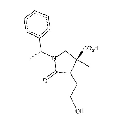 C[C@H](c1ccccc1)N1C[C@@](C)(C(=O)O)C(CCO)C1=O